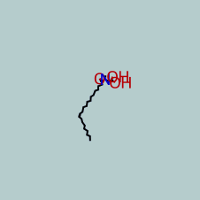 CCCCCCCC/C=C\CCCCCCCCCCCC(=O)N(C)CC(O)O